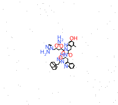 Cc1cc(O)cc(C)c1CC(NC(=O)C(CCCn1ccnc1N)OC(N)=O)C(=O)N[C@@H](Cc1cn(C)c2ccccc12)c1nc(CC23CC4CC(CC(C4)C2)C3)no1